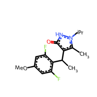 COc1cc(F)c(C(C)c2c(C)n(C(C)C)[nH]c2=O)c(F)c1